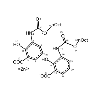 CCCCCCCCOC(=O)Nc1cccc(C(=O)[O-])c1O.CCCCCCCCOC(=O)Nc1cccc(C(=O)[O-])c1O.[Zn+2]